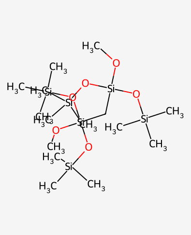 CO[Si](C[Si](OC)(O[Si](C)(C)C)O[Si](C)(C)C)(O[Si](C)(C)C)O[Si](C)(C)C